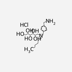 CCCCCCN(Cc1ccc(CN)cc1)CC(O)C(O)C(O)C(O)CO.Cl